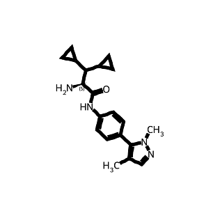 Cc1cnn(C)c1-c1ccc(NC(=O)[C@@H](N)C(C2CC2)C2CC2)cc1